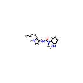 CC(C)CN1CCC(CNC(=O)N2CCNc3ccccc32)C1